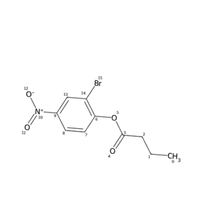 CCCC(=O)Oc1ccc([N+](=O)[O-])cc1Br